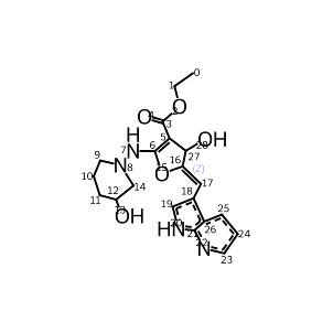 CCOC(=O)C1=C(NN2CCCC(O)C2)O/C(=C\c2c[nH]c3ncccc23)C1O